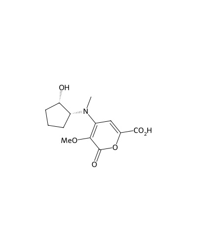 COc1c(N(C)[C@@H]2CCC[C@@H]2O)cc(C(=O)O)oc1=O